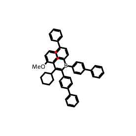 COc1ccccc1/C(=C(\B(c1ccc(-c2ccccc2)cc1)c1ccc(-c2ccccc2)cc1)c1ccc(-c2ccccc2)cc1)C1CCCCC1